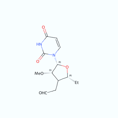 CC[C@H]1O[C@@H](n2ccc(=O)[nH]c2=O)[C@@H](OC)C1CC=O